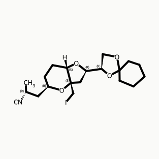 [C-]#[N+][C@H](C)C[C@H]1CC[C@@H]2O[C@@H]([C@H]3COC4(CCCCC4)O3)C[C@]2(CI)O1